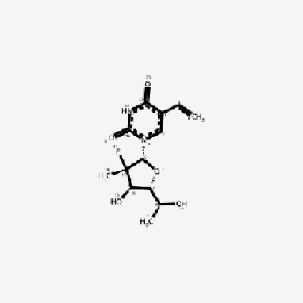 C=Cc1cn([C@@H]2O[C@H]([C@H](C)O)[C@@H](O)[C@]2(C)F)c(=O)[nH]c1=O